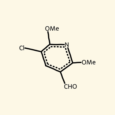 COc1nc(OC)c(C=O)cc1Cl